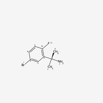 [CH2][C@](C)(N)c1cc(Br)ccc1F